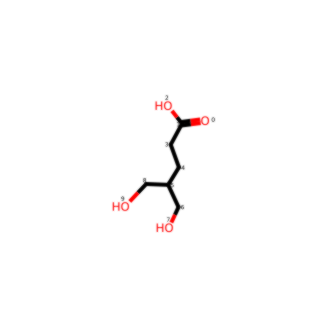 O=C(O)CC[C](CO)CO